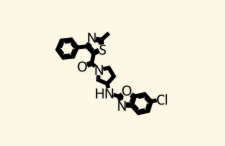 Cc1nc(-c2ccccc2)c(C(=O)N2CCC(Nc3nc4ccc(Cl)cc4o3)C2)s1